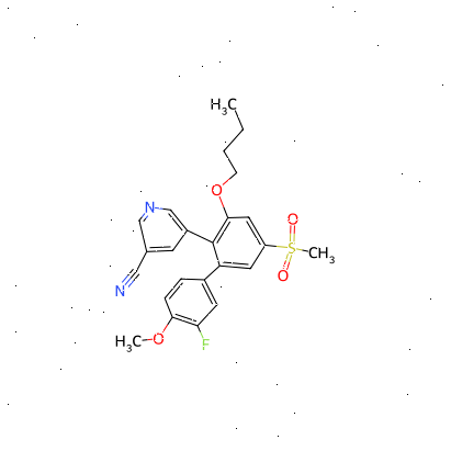 CCCCOc1cc(S(C)(=O)=O)cc(-c2ccc(OC)c(F)c2)c1-c1cncc(C#N)c1